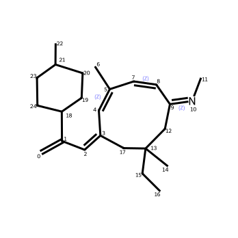 C=C(C=C1\C=C(C)/C=C\C(=N/C)CC(C)(CC)C1)C1CCC(C)CC1